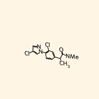 CNC(=O)C(C)c1ccc(-n2cc(Cl)cn2)c(Cl)c1